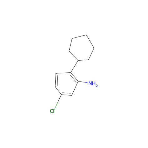 Nc1cc(Cl)ccc1C1CCCCC1